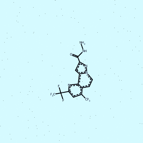 NNC(=O)c1cc2c3nc(C(F)(F)C(F)(F)F)cc(C(F)(F)F)c3ccn2n1